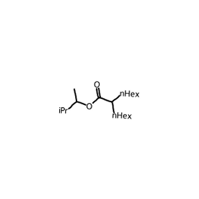 CCCCCCC(CCCCCC)C(=O)OC(C)C(C)C